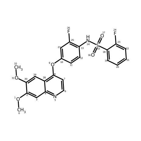 COc1cc2nccc(Oc3ccc(NS(=O)(=O)c4ccccc4F)c(F)c3)c2cc1OC